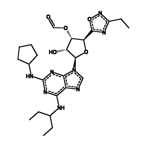 CCc1noc([C@H]2O[C@@H](n3cnc4c(NC(CC)CC)nc(NC5CCCC5)nc43)[C@H](O)[C@@H]2OC=O)n1